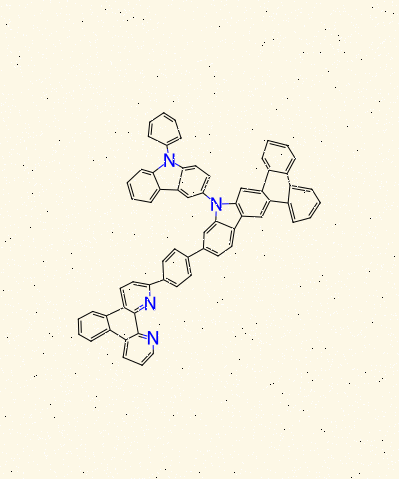 c1ccc(-n2c3ccccc3c3cc(-n4c5cc(-c6ccc(-c7ccc8c9ccccc9c9cccnc9c8n7)cc6)ccc5c5cc6c7ccccc7c7ccccc7c6cc54)ccc32)cc1